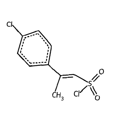 CC(=CS(=O)(=O)Cl)c1ccc(Cl)cc1